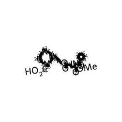 COC(=O)C(CCC(=O)OCC#CCN1CCN(C)CCN(C)CCN(CC(=O)O)CC1)NC(=O)c1ccccc1